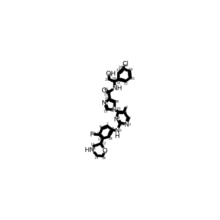 Cc1cnc(Nc2ccc(F)c(C3CNCCO3)c2)nc1-n1cnc(C(=O)NC(CO)c2cccc(Cl)c2)c1